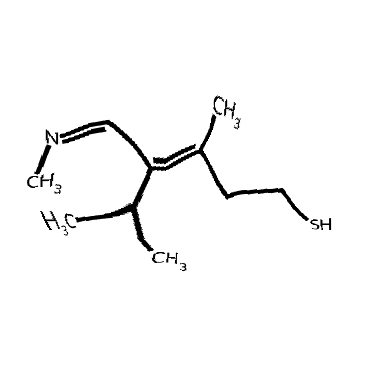 C/N=C\C(=C(/C)CCS)C(C)C